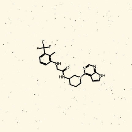 Cc1c(NCC(=O)NC2CCCN(c3ncnc4[nH]ccc34)C2)cccc1C(F)(F)F